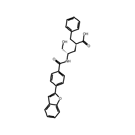 O=C(N[C@H](CO)C[C@@H](Cc1ccccc1)C(=O)O)c1ccc(-c2cc3ccccc3o2)cc1